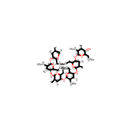 COCC1O[C@@H](O[C@@H]2C(COC)O[C@H](O[C@@H]3C(COC)O[C@@H](O[C@@H]4C(COC)O[C@H](O[C@@H]5C(COC)O[C@@H](O[C@@H]6C(COC)O[C@@H](C)C(C)[C@H]6C)C(OC)[C@H]5C)C(C)[C@H]4C)C(OC)[C@H]3C)C(C)[C@H]2C)C(OC)[C@@H](C)[C@@H]1O